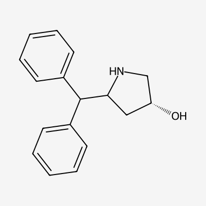 O[C@H]1CNC(C(c2ccccc2)c2ccccc2)C1